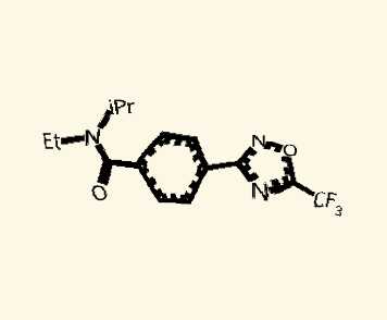 CCN(C(=O)c1ccc(-c2noc(C(F)(F)F)n2)cc1)C(C)C